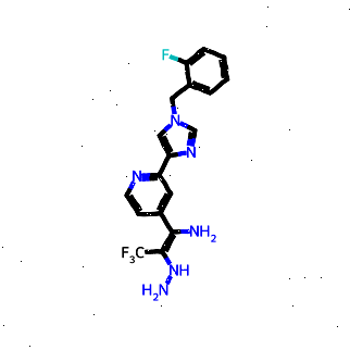 NN/C(=C(\N)c1ccnc(-c2cn(Cc3ccccc3F)cn2)c1)C(F)(F)F